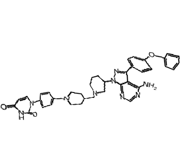 Nc1ncnc2c1c(-c1ccc(Oc3ccccc3)cc1)nn2C1CCCN(CC2CCN(c3ccc(-n4ccc(=O)[nH]c4=O)cc3)CC2)C1